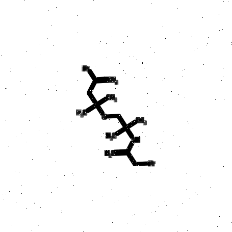 C=C(CC(C)C)NC(C)(C)COC(C)(C)CC(=C)C(C)C